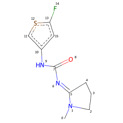 CN1CCCC1=NC(=O)Nc1csc(F)c1